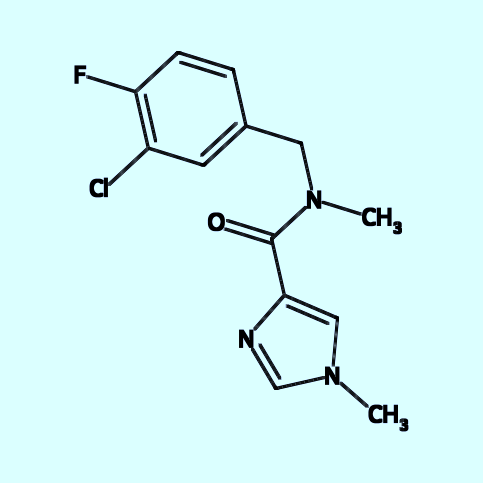 CN(Cc1ccc(F)c(Cl)c1)C(=O)c1cn(C)cn1